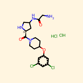 Cl.Cl.NCC(=O)NC1CN[C@H](C(=O)N2CCC(Oc3cc(Cl)cc(Cl)c3)CC2)C1